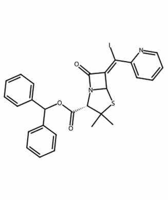 CC1(C)SC2/C(=C(/I)c3ccccn3)C(=O)N2[C@H]1C(=O)OC(c1ccccc1)c1ccccc1